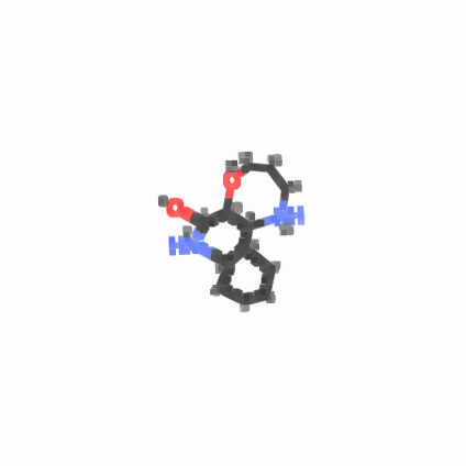 O=c1[nH]c2ccccc2c2c1OCCCN2